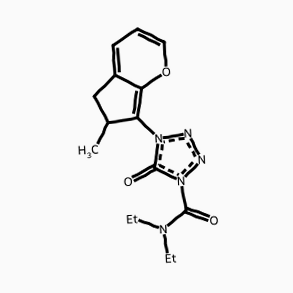 CCN(CC)C(=O)n1nnn(C2=C3OC=CC=C3CC2C)c1=O